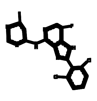 Cc1cc(Nc2ncc(F)c3[nH]c(-c4c(Cl)cccc4Cl)nc23)ncn1